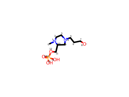 CN1CCN(CCC[O])CC1COP(=O)(O)O